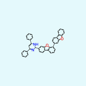 C1=C(c2ccccc2)NC(c2ccc3c(c2)oc2c(-c4ccc5c(c4)oc4ccccc45)cccc23)N=C1c1ccccc1